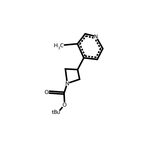 Cc1cnccc1C1CN(C(=O)OC(C)(C)C)C1